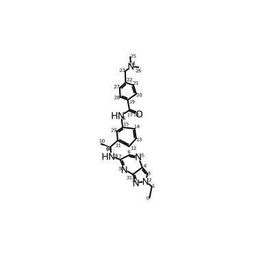 CCn1cc2ncc(N[C@@H](C)c3cccc(NC(=O)c4ccc(CN(C)C)cc4)c3)nc2n1